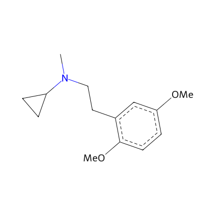 COc1ccc(OC)c(CCN(C)C2CC2)c1